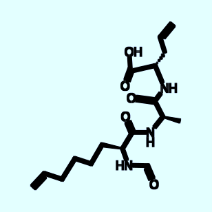 C=CCCCC[C@H](NC=O)C(=O)N[C@H](C)C(=O)N[C@@H](CC=C)C(=O)O